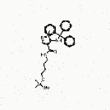 Cn1ncc(C(=O)NCCCCO[Si](C)(C)C(C)(C)C)c1NC(c1ccccc1)(c1ccccc1)c1ccccc1